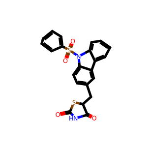 O=C1NC(=O)C(Cc2ccc3c(c2)c2ccccc2n3S(=O)(=O)c2ccccc2)S1